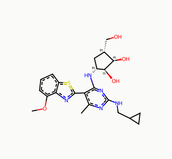 COc1cccc2sc(-c3c(C)nc(NCC4CC4)nc3N[C@@H]3C[C@H](CO)[C@@H](O)[C@H]3O)nc12